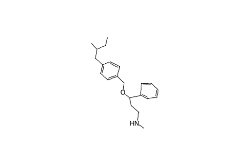 CCC(C)Cc1ccc(COC(CCNC)c2ccccc2)cc1